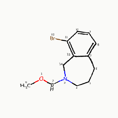 COBN1CCCc2cccc(Br)c2C1